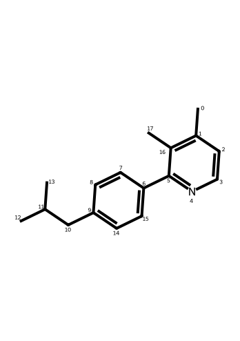 Cc1ccnc(-c2ccc(CC(C)C)cc2)c1C